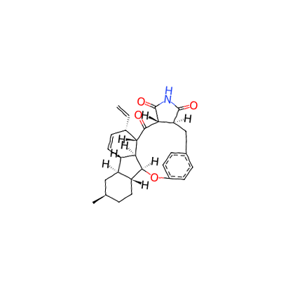 C=C[C@H]1C=C[C@H]2[C@@H]3C[C@H](C)CC[C@H]3[C@@H]3Oc4ccc(cc4)C[C@@H]4C(=O)NC(=O)[C@H]4C(=O)[C@@H]1[C@H]23